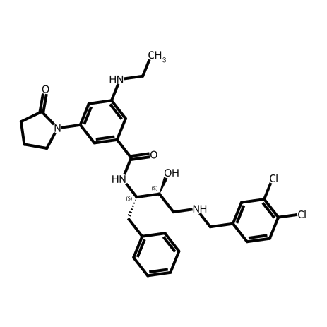 CCNc1cc(C(=O)N[C@@H](Cc2ccccc2)[C@@H](O)CNCc2ccc(Cl)c(Cl)c2)cc(N2CCCC2=O)c1